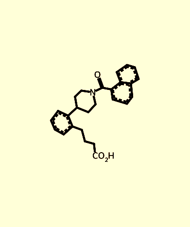 O=C(O)CCCc1ccccc1C1CCN(C(=O)c2cccc3ccccc23)CC1